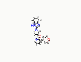 c1cnc(O[C@H]2CCN(c3nc4ccccc4[nH]3)C2)c(C2CCOCC2)c1